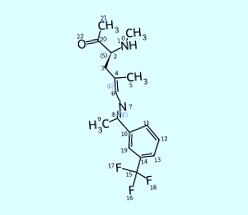 CN[C@@H](C/C(C)=C/N=C(\C)c1cccc(C(F)(F)F)c1)C(C)=O